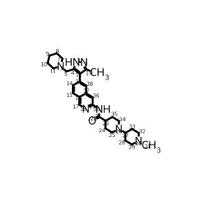 Cc1n[nH]c(CN2CCCCC2)c1-c1ccc2cnc(NC(=O)C3CCN(C4CCN(C)CC4)CC3)cc2c1